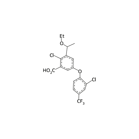 CCOC(C)c1cc(Oc2ccc(C(F)(F)F)cc2Cl)cc(C(=O)O)c1Cl